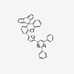 c1ccc(-c2cc(-c3ccc(-c4cccc5c4Oc4ccccc4C54c5ccccc5-c5ccccc54)o3)nc(-c3ccccc3)n2)cc1